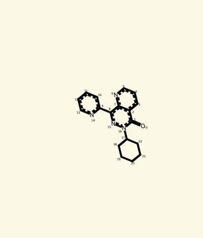 O=c1c2cccnc2c(-c2ccccn2)nn1C1CCCCC1